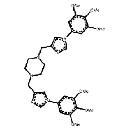 COc1cc(-n2cnc(CN3CCN(Cc4cn(-c5cc(OC)c(OC)c(OC)c5)cn4)CC3)c2)cc(OC)c1OC